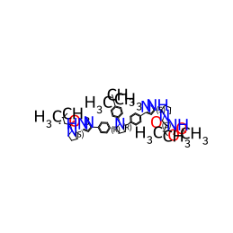 COC(=O)N[C@H](C(=O)N1CCC[C@H]1c1cc(-c2ccc([C@H]3CC[C@H](c4ccc(-c5cc([C@@H]6CCCN6C(=O)[CH]C(C)C)[nH]n5)cc4)N3c3ccc(C(C)(C)C)cc3)cc2)n[nH]1)C(C)C